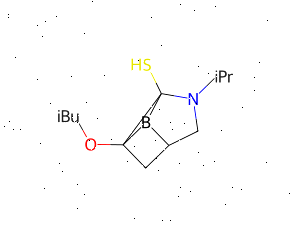 CCC(C)OC12CC3CN(C(C)C)C1(S)B32